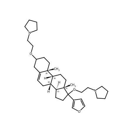 C[C@]12CCC(OCCN3CCCC3)CC1=CC[C@@H]1[C@H]2CC[C@@]2(C)[C@H]1CCC2(OCCN1CCCC1)c1ccoc1